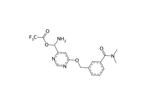 CN(C)C(=O)c1cccc(COc2cc(C(N)OC(=O)C(F)(F)F)ncn2)c1